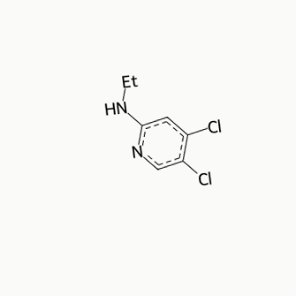 CCNc1cc(Cl)c(Cl)cn1